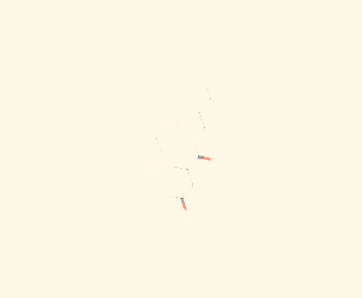 CCCCOC(=O)C(O)CC(=O)S.OCCO